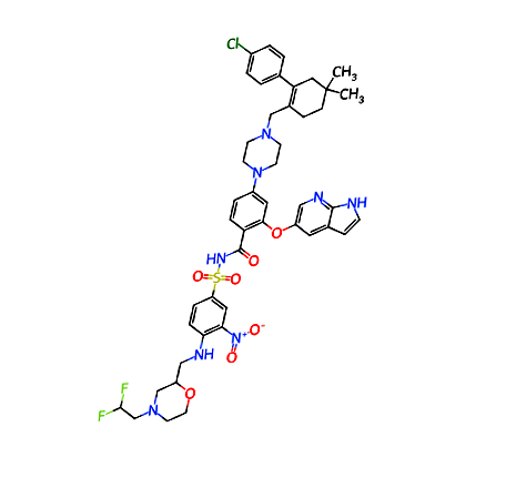 CC1(C)CCC(CN2CCN(c3ccc(C(=O)NS(=O)(=O)c4ccc(NCC5CN(CC(F)F)CCO5)c([N+](=O)[O-])c4)c(Oc4cnc5[nH]ccc5c4)c3)CC2)=C(c2ccc(Cl)cc2)C1